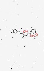 C=C(CCC(O)C1(C)C=CC=C2OCCC21)C(O)CC[C@@H]1CCC(C)C1